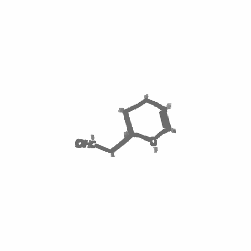 O=CCC1CCC=CO1